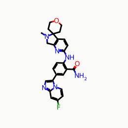 CN1Cc2nc(Nc3ccc(-c4cnc5cc(F)ccn45)cc3C(N)=O)ccc2C12CCOCC2